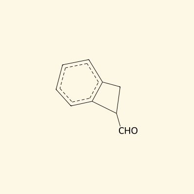 O=CC1Cc2ccccc21